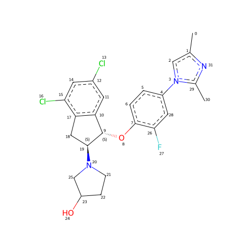 Cc1cn(-c2ccc(O[C@H]3c4cc(Cl)cc(Cl)c4C[C@@H]3N3CCC(O)C3)c(F)c2)c(C)n1